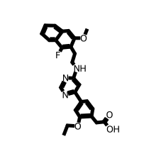 CCOc1cc(-c2cc(NCCc3c(OC)cc4ccccc4c3F)ncn2)ccc1CC(=O)O